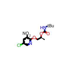 C[C@@H](COc1ncc(Cl)cc1[N+](=O)[O-])OC(=O)NC(C)(C)C